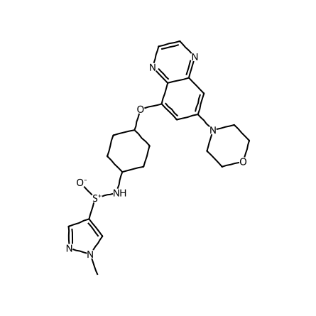 Cn1cc([S+]([O-])NC2CCC(Oc3cc(N4CCOCC4)cc4nccnc34)CC2)cn1